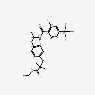 CCOC(=O)C(C)(C)Oc1ccc(CC(C)NC(=O)c2ccc(C(F)(F)F)cc2F)cc1